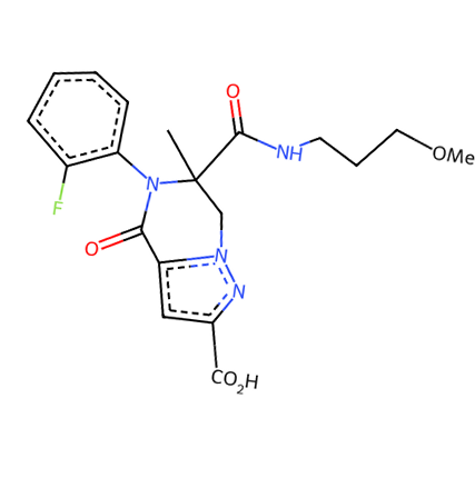 COCCCNC(=O)C1(C)Cn2nc(C(=O)O)cc2C(=O)N1c1ccccc1F